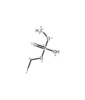 COP(=O)(O)OCI